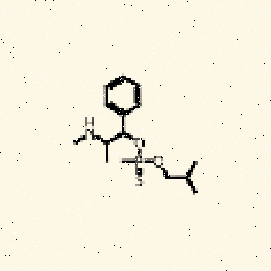 CNC(C)C(OP(C)(=S)OCC(C)C)c1ccccc1